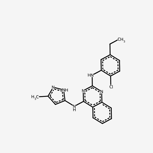 CCc1ccc(Cl)c(Nc2nc(Nc3cc(C)n[nH]3)c3ccccc3n2)c1